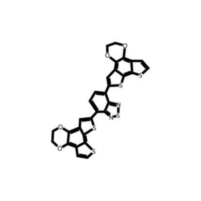 c1cc2c3c(c4cc(-c5ccc(-c6cc7c8c(c9ccsc9c7s6)OCCO8)c6nsnc56)sc4c2s1)OCCO3